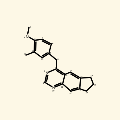 COc1ccc(Cc2ncnc3cc4c(cc23)CCC4)cc1C